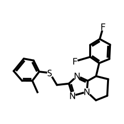 Cc1ccccc1SCc1nc2n(n1)CCCC2c1ccc(F)cc1F